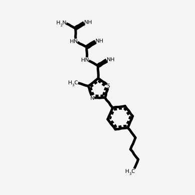 CCCCc1ccc(-c2nc(C)c(C(=N)NC(=N)NC(=N)N)s2)cc1